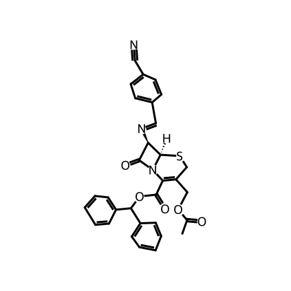 CC(=O)OCC1=C(C(=O)OC(c2ccccc2)c2ccccc2)N2C(=O)[C@@H](N=Cc3ccc(C#N)cc3)[C@H]2SC1